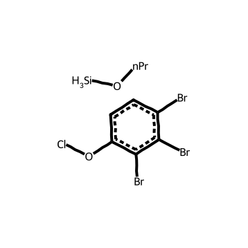 CCCO[SiH3].ClOc1ccc(Br)c(Br)c1Br